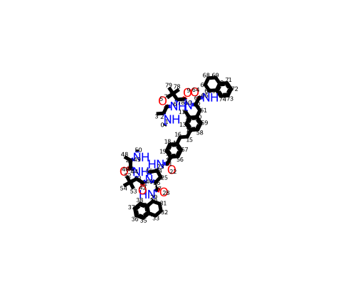 CNC(C)C(=O)NC(C(=O)N1Cc2cc(CCc3ccc(C(=O)N[C@H]4C[C@@H](C(=O)N[C@@H]5CCCc6ccccc65)N(C(=O)C(NC(=O)C(C)NC)C(C)(C)C)C4)cc3)ccc2CC1C(=O)N[C@@H]1CCCc2ccccc21)C(C)(C)C